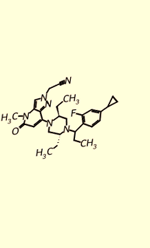 CCC(c1ccc(C2CC2)cc1F)N1C[C@H](CC)N(c2cc(=O)n(C)c3cn(CC#N)nc23)C[C@H]1CC